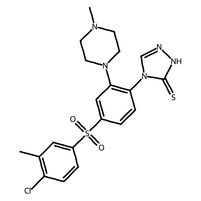 Cc1cc(S(=O)(=O)c2ccc(-n3cn[nH]c3=S)c(N3CCN(C)CC3)c2)ccc1Cl